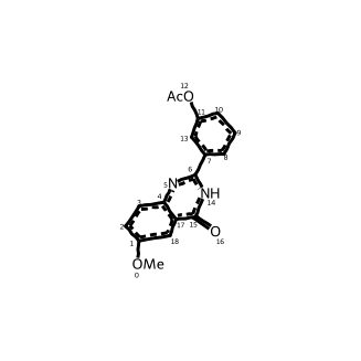 COc1ccc2nc(-c3cccc(OC(C)=O)c3)[nH]c(=O)c2c1